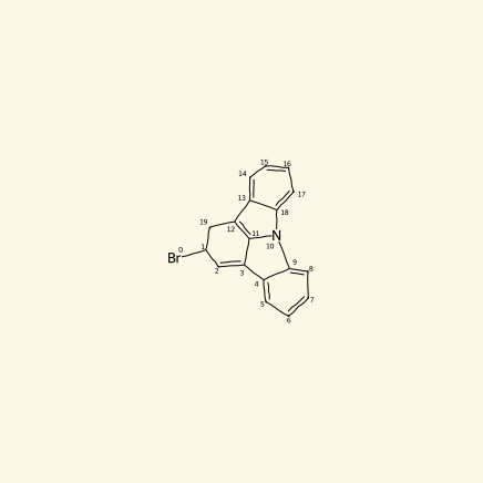 BrC1C=c2c3ccccc3n3c2c(c2ccccc23)C1